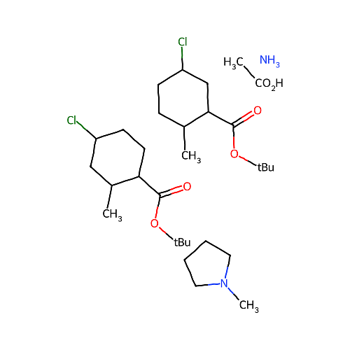 CC(=O)O.CC1CC(Cl)CCC1C(=O)OC(C)(C)C.CC1CCC(Cl)CC1C(=O)OC(C)(C)C.CN1CCCC1.N